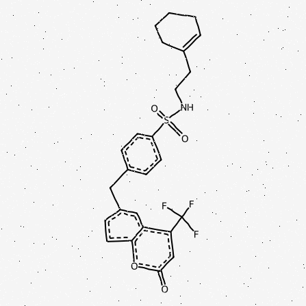 O=c1cc(C(F)(F)F)c2cc(Cc3ccc(S(=O)(=O)NCCC4=CCCCC4)cc3)ccc2o1